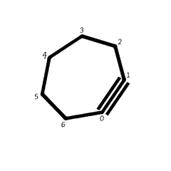 C1#CCC[CH]CC1